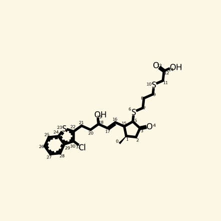 C[C@@H]1CC(=O)C(SCCCSCC(=O)O)C1C=CC(O)CCc1sc2ccccc2c1Cl